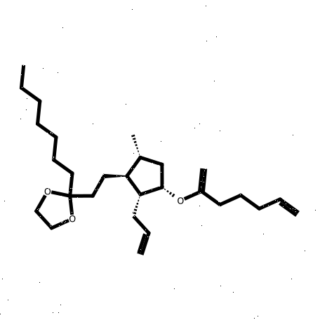 C=CCCCC(=C)O[C@H]1C[C@@H](C)[C@H](CCC2(CCCCCCC)OCCO2)[C@H]1CC=C